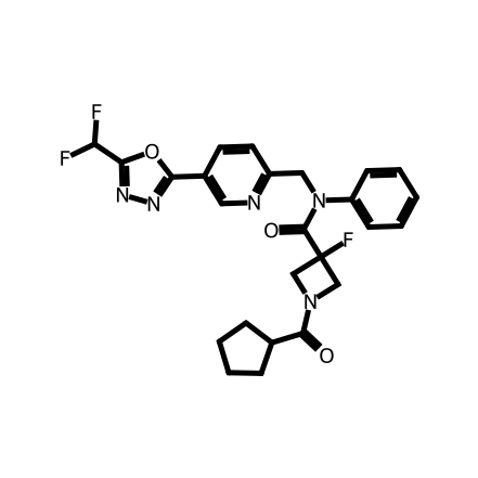 O=C(C1CCCC1)N1CC(F)(C(=O)N(Cc2ccc(-c3nnc(C(F)F)o3)cn2)c2ccccc2)C1